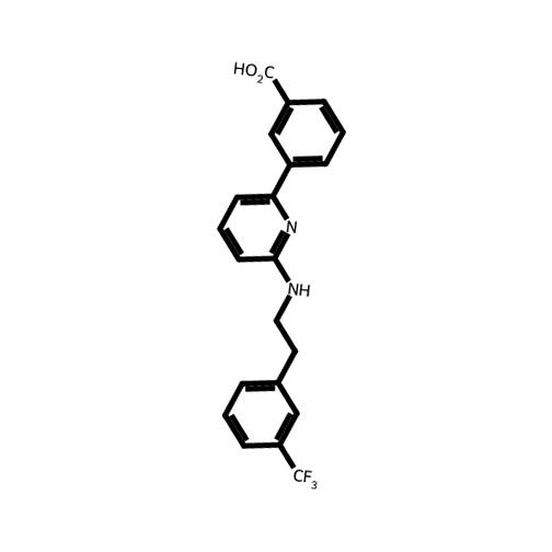 O=C(O)c1cccc(-c2cccc(NCCc3cccc(C(F)(F)F)c3)n2)c1